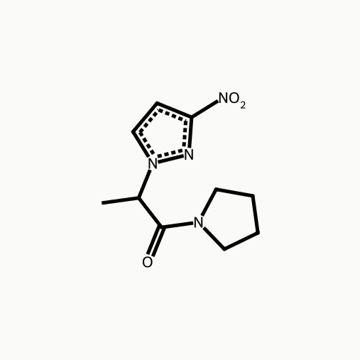 CC(C(=O)N1CCCC1)n1ccc([N+](=O)[O-])n1